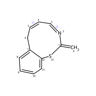 C=C1/N=C\C=C/Cc2ccccc2S1